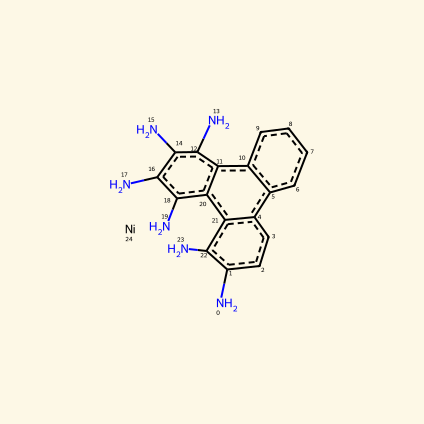 Nc1ccc2c3ccccc3c3c(N)c(N)c(N)c(N)c3c2c1N.[Ni]